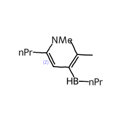 CCCBC(/C=C(/CCC)NC)=C(C)C